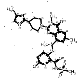 Cc1cc([C@@H](C)Nc2ccc(Cl)nc2C(=O)NS(C)(=O)=O)c2nc(N3CCC(c4nc(C)co4)CC3)n(C)c(=O)c2c1